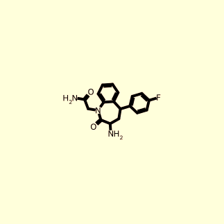 NC(=O)CN1C(=O)C(N)CC(c2ccc(F)cc2)c2ccccc21